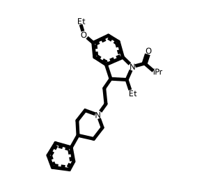 CCOc1ccc2c(c1)C(CCN1CCC(c3ccccc3)CC1)C(CC)N2C(=O)C(C)C